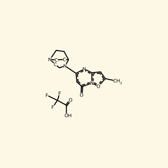 Cc1cc2nc(N3CCN4CCC3CC4)cc(=O)n2o1.O=C(O)C(F)(F)F